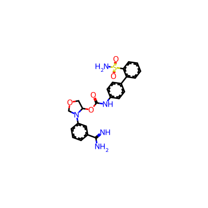 N=C(N)c1cccc(N2COCC2OC(=O)Nc2ccc(-c3ccccc3S(N)(=O)=O)cc2)c1